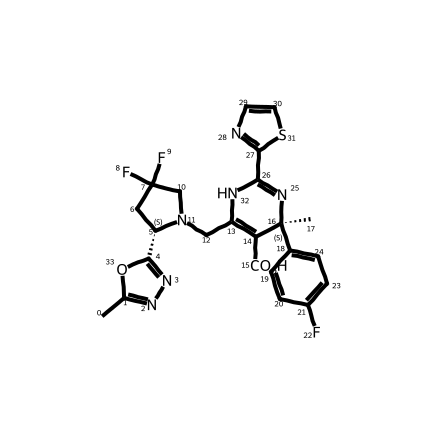 Cc1nnc([C@@H]2CC(F)(F)CN2CC2=C(C(=O)O)[C@](C)(c3ccc(F)cc3)N=C(c3nccs3)N2)o1